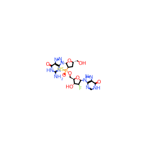 Nc1nc2c(nnn2[C@@H]2O[C@H](CO)C[C@H]2P(=O)(S)OC[C@H]2O[C@@H](n3nnc4c(=O)[nH]cnc43)[C@@H](F)[C@@H]2O)c(=O)[nH]1